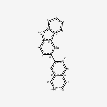 c1ccc2c(c1)sc1ccc(-c3cc4cnccc4cn3)nc12